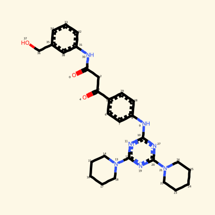 O=C(CC(=O)c1ccc(Nc2nc(N3CCCCC3)nc(N3CCCCC3)n2)cc1)Nc1cccc(CO)c1